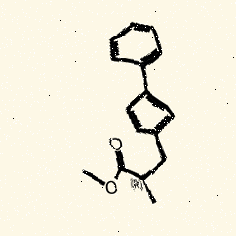 COC(=O)[C@H](C)Cc1ccc(-c2ccccc2)cc1